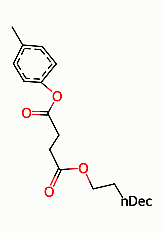 CCCCCCCCCCCCOC(=O)CCC(=O)Oc1ccc(C)cc1